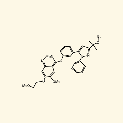 CCOC(C)(C)c1cc(-c2cccc(Sc3ncnc4cc(OCCOC)c(OC)cc34)c2)n(-c2ccccc2)n1